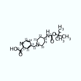 CC(C)(C)OC(=O)NC1CCN(Cc2ccnc(C(=O)O)c2)CC1